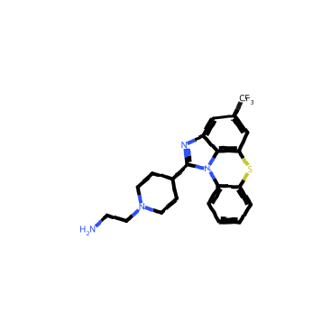 NCCN1CCC(c2nc3cc(C(F)(F)F)cc4c3n2-c2ccccc2S4)CC1